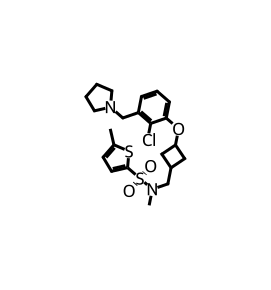 Cc1ccc(S(=O)(=O)N(C)CC2CC(Oc3cccc(CN4CCCC4)c3Cl)C2)s1